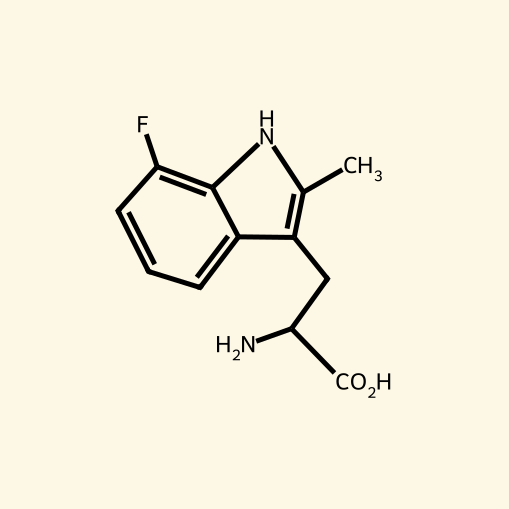 Cc1[nH]c2c(F)cccc2c1CC(N)C(=O)O